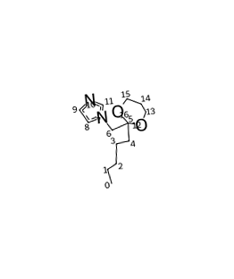 CCCCCC1(Cn2ccnc2)OCCCO1